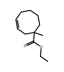 CCOC(=O)C1(C)CC=CCCCC1